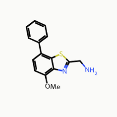 COc1ccc(-c2ccccc2)c2sc(CN)nc12